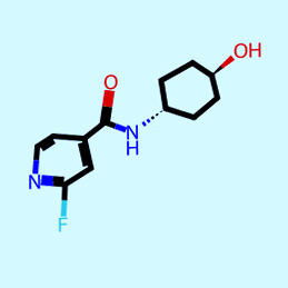 O=C(N[C@H]1CC[C@H](O)CC1)c1ccnc(F)c1